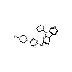 CCN1CCN(c2ccc(Nc3ncc4c5ccncc5n(C5CCCC5)c4n3)nc2)CC1